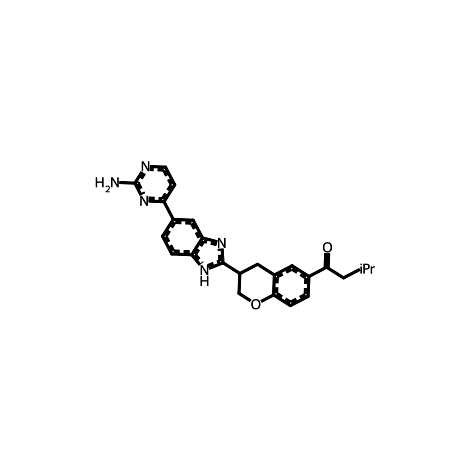 CC(C)CC(=O)c1ccc2c(c1)CC(c1nc3cc(-c4ccnc(N)n4)ccc3[nH]1)CO2